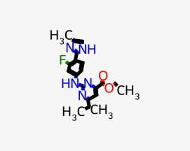 CCOC(=O)c1cc(C(C)C)nc(Nc2ccc(-c3nc(C)c[nH]3)c(F)c2)n1